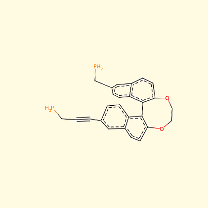 PCC#Cc1ccc2c3c(ccc2c1)OCCOc1ccc2cc(CP)ccc2c1-3